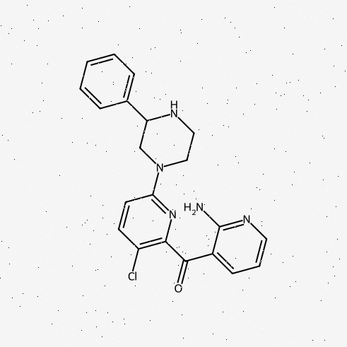 Nc1ncccc1C(=O)c1nc(N2CCNC(c3ccccc3)C2)ccc1Cl